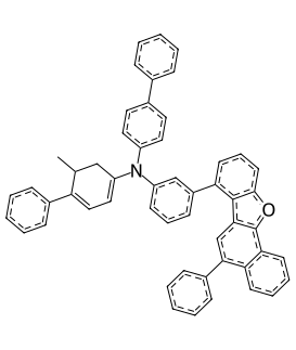 CC1CC(N(c2ccc(-c3ccccc3)cc2)c2cccc(-c3cccc4oc5c6ccccc6c(-c6ccccc6)cc5c34)c2)=CC=C1c1ccccc1